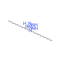 CCCCCCCCCCCCCCN(CCCCCCCCCCCCCC)C(=N)NC(=N)N